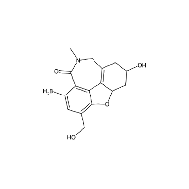 Bc1cc(CO)c2c3c1C(=O)N(C)CC1=C3C(CC(O)C1)O2